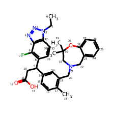 CCn1nnc2c(F)c(C(CC(=O)O)c3ccc(C)c(CN4Cc5ccccc5OC(C)(C)C4)c3)ccc21